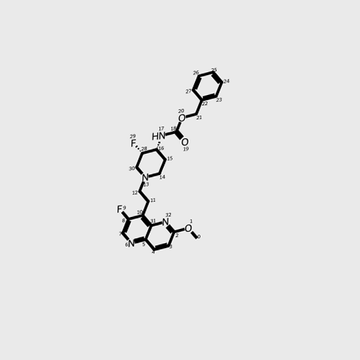 COc1ccc2ncc(F)c(CCN3CC[C@@H](NC(=O)OCc4ccccc4)[C@@H](F)C3)c2n1